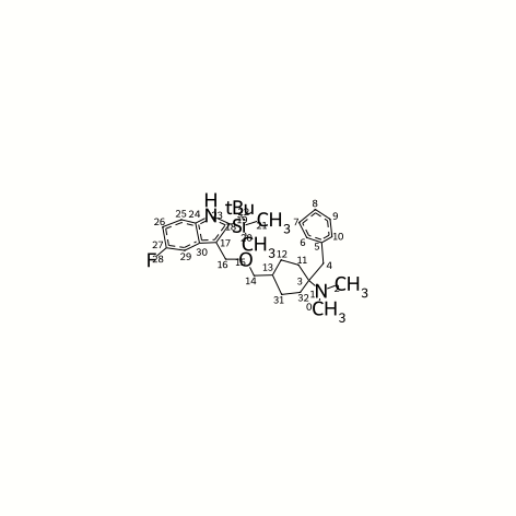 CN(C)C1(Cc2ccccc2)CCC(COCc2c([Si](C)(C)C(C)(C)C)[nH]c3ccc(F)cc23)CC1